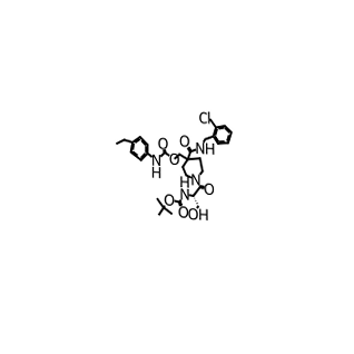 CCc1ccc(NC(=O)OCC2(C(=O)NCc3ccccc3Cl)CCN(C(=O)[C@H](CO)NC(=O)OC(C)(C)C)CC2)cc1